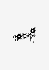 Cc1ccc(N(CCN2CCN(c3ccc(Cl)c(Cl)c3)CC2)C(N)=S)cc1